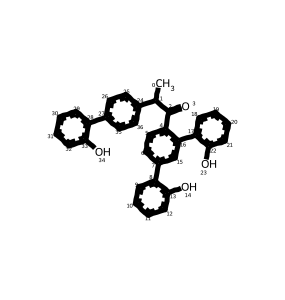 CC(C(=O)c1ccc(-c2ccccc2O)cc1-c1ccccc1O)c1ccc(-c2ccccc2O)cc1